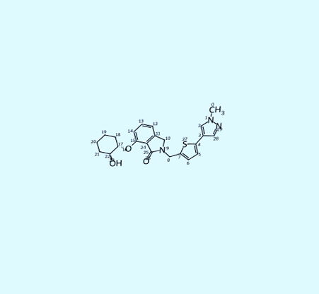 Cn1cc(-c2ccc(CN3Cc4cccc(O[C@H]5CCCC[C@@H]5O)c4C3=O)s2)cn1